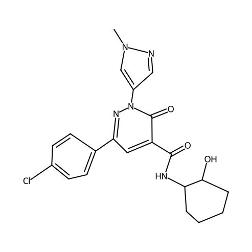 Cn1cc(-n2nc(-c3ccc(Cl)cc3)cc(C(=O)NC3CCCCC3O)c2=O)cn1